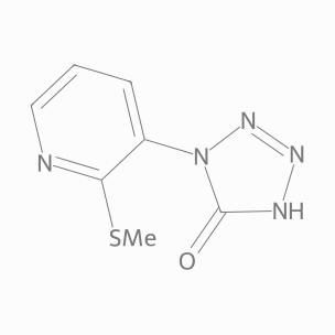 CSc1ncccc1-n1nn[nH]c1=O